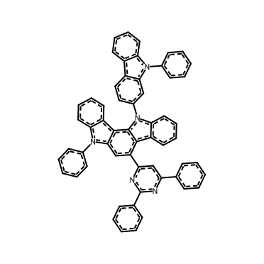 c1ccc(-c2cc(-c3cc4c(c5ccccc5n4-c4ccccc4)c4c3c3ccccc3n4-c3ccc4c5ccccc5n(-c5ccccc5)c4c3)nc(-c3ccccc3)n2)cc1